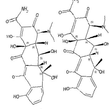 CN(C)[C@@H]1C(=O)C(C(N)=O)=C(O)[C@@]2(O)C(=O)C3=C([O-])c4c(O)cccc4[C@@](C)(O)[C@H]3[C@H](O)[C@@H]12.CN(C)[C@@H]1C(=O)C(C(N)=O)=C(O)[C@@]2(O)C(=O)C3=C([O-])c4c(O)cccc4[C@@](C)(O)[C@H]3[C@H](O)[C@@H]12.[Ca+2]